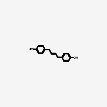 Oc1ccc(CC=CCc2ccc(O)cc2)cc1